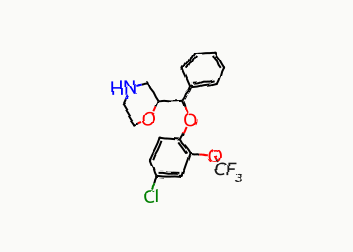 FC(F)(F)Oc1cc(Cl)ccc1OC(c1ccccc1)C1CNCCO1